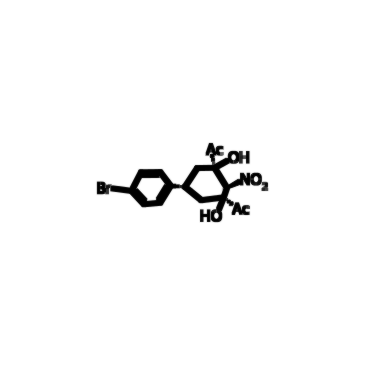 CC(=O)[C@]1(O)C[C@H](c2ccc(Br)cc2)C[C@](O)(C(C)=O)[C@H]1[N+](=O)[O-]